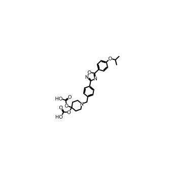 CC(C)Oc1ccc(-c2nc(-c3ccc(CN4CCC(OC(=O)O)(OC(=O)O)CC4)cc3)no2)cc1